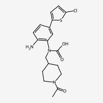 CC(=O)N1CCC(CN(C(=O)O)c2cc(-c3ccc(Cl)s3)ccc2N)CC1